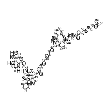 CC(=O)NC1C(OCCNC(=O)C(C)(CC(C)(C=N)CCC(=O)OCCOCCOCCOCCn2nnc3c2-c2ccccc2N(C(=O)CCNC(=O)OCCSSCCOC(C)=O)Cc2ccccc2-3)SC(=S)c2ccccc2)OC(CO)C(O)C1O